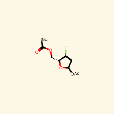 CC(=O)OC1C[C@H](F)[C@@H](COC(=O)C(C)(C)C)O1